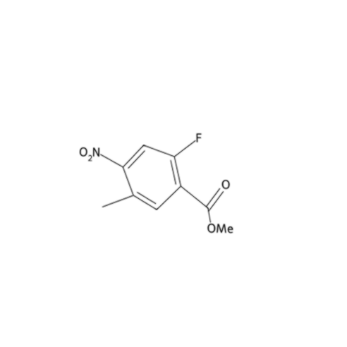 COC(=O)c1cc(C)c([N+](=O)[O-])cc1F